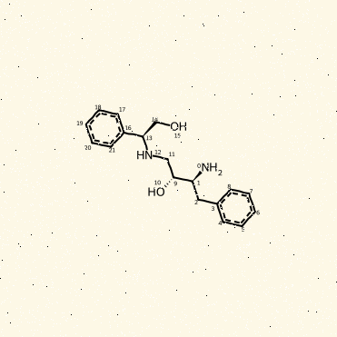 N[C@@H](Cc1ccccc1)[C@H](O)CN[C@H](CO)c1ccccc1